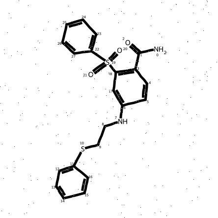 NC(=O)c1ccc(NCCSc2ccccc2)cc1S(=O)(=O)c1ccccc1